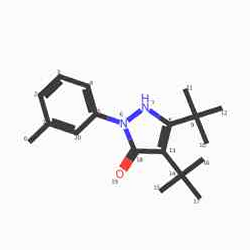 Cc1cccc(-n2[nH]c(C(C)(C)C)c(C(C)(C)C)c2=O)c1